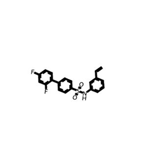 C=Cc1cccc(NS(=O)(=O)c2ccc(-c3ccc(F)cc3F)cc2)c1